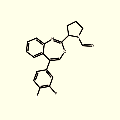 O=CN1CCCC1C1=Nc2ccccc2C(c2ccc(F)c(F)c2)=CO1